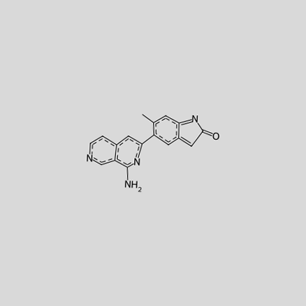 Cc1cc2c(cc1-c1cc3ccncc3c(N)n1)=CC(=O)N=2